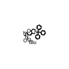 CC(C)(C)OC(=O)n1cncc1C=C1CN(C(c2ccccc2)(c2ccccc2)c2ccccc2)CCC1=O